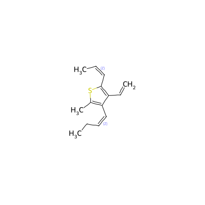 C=Cc1c(/C=C\C)sc(C)c1/C=C\CC